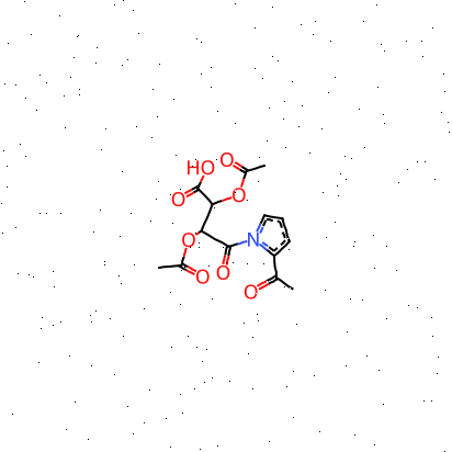 CC(=O)OC(C(=O)O)C(OC(C)=O)C(=O)n1cccc1C(C)=O